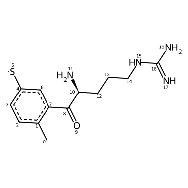 Cc1ccc([S])cc1C(=O)[C@@H](N)CCCNC(=N)N